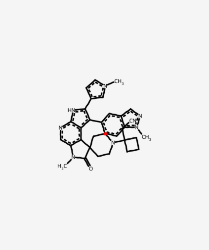 CN1C(=O)C2(CCN(C3(CC#N)CCC3)CC2)c2c1cnc1[nH]c(-c3ccn(C)c3)c(-c3ccc4c(cnn4C)c3)c21